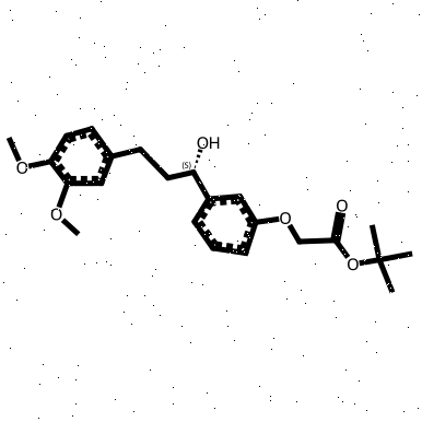 COc1ccc(CC[C@H](O)c2cccc(OCC(=O)OC(C)(C)C)c2)cc1OC